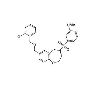 COc1cccc(S(=O)(=O)N2CCOc3ccc(COCc4ccccc4Cl)cc3C2)c1